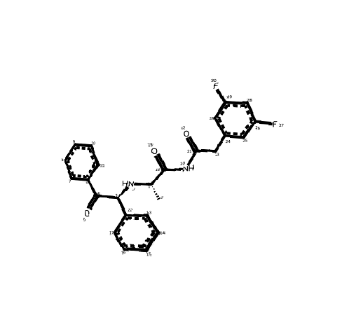 C[C@H](N[C@H](C(=O)c1ccccc1)c1ccccc1)C(=O)NC(=O)Cc1cc(F)cc(F)c1